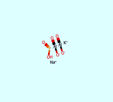 O=PO.[K+].[Na+].[O]=[Al][O-].[O]=[Al][O-]